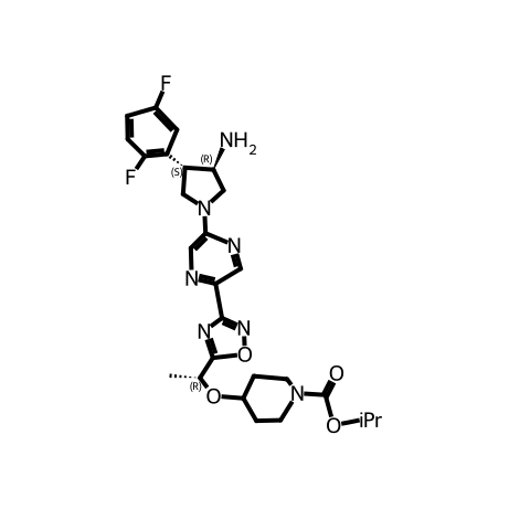 CC(C)OC(=O)N1CCC(O[C@H](C)c2nc(-c3cnc(N4C[C@H](c5cc(F)ccc5F)[C@@H](N)C4)cn3)no2)CC1